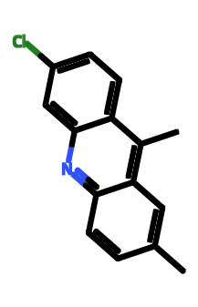 Cc1ccc2nc3cc(Cl)ccc3c(C)c2c1